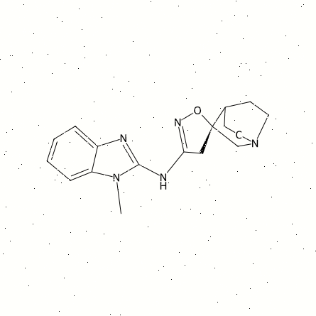 Cn1c(NC2=NO[C@@]3(C2)CN2CCC3CC2)nc2ccccc21